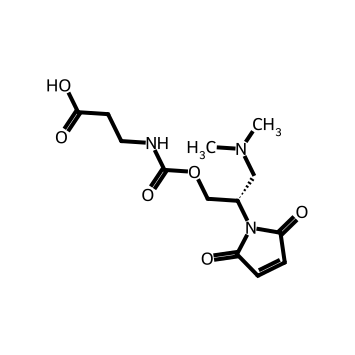 CN(C)C[C@@H](COC(=O)NCCC(=O)O)N1C(=O)C=CC1=O